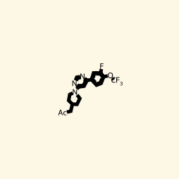 CC(=O)CC1CCN(c2cc(-c3ccc(OC(F)(F)F)c(F)c3)ncn2)CC1